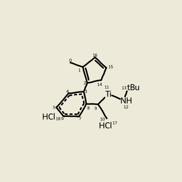 CC1=C(c2ccccc2[CH](C)[Ti][NH]C(C)(C)C)CC=C1.Cl.Cl